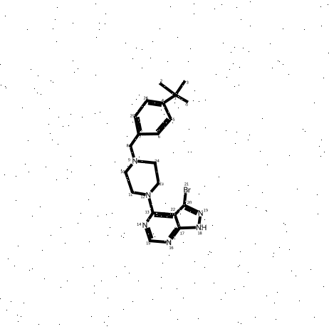 CC(C)(C)c1ccc(CN2CCN(c3ncnc4[nH]nc(Br)c34)CC2)cc1